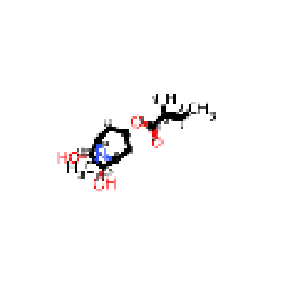 C/C=C(\C)C(=O)O[C@@H]1CC2[C@@H](O)[C@@H](O)C(C1)N2C